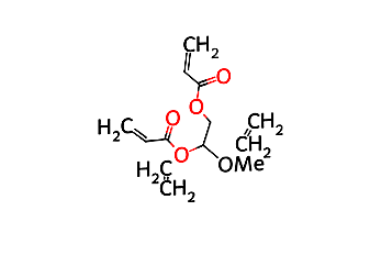 C=C.C=C.C=CC(=O)OCC(OC)OC(=O)C=C